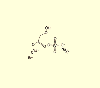 O=C([O-])COO.[Br-].[K+].[K+].[Na+].[Na+].[O]=[W](=[O])([O-])[O-]